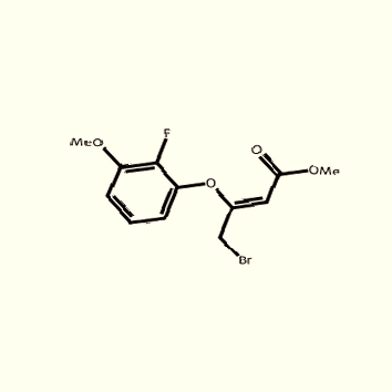 COC(=O)/C=C(/CBr)Oc1cccc(OC)c1F